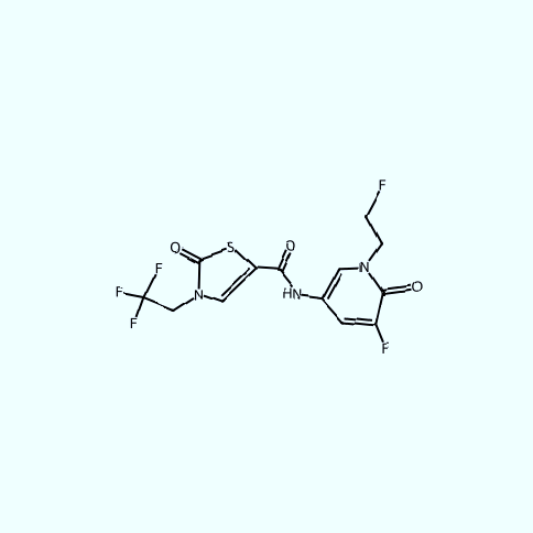 O=C(Nc1cc(F)c(=O)n(CCF)c1)c1cn(CC(F)(F)F)c(=O)s1